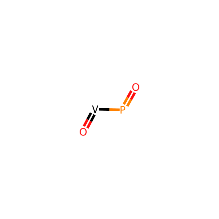 O=[P][V]=[O]